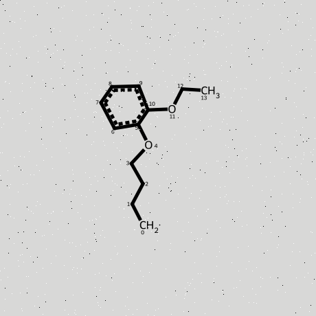 [CH2]CCCOc1ccccc1OCC